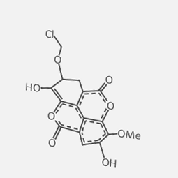 COc1c(O)cc2c(=O)oc3c4c(c(=O)oc1c24)CC(OCCl)C=3O